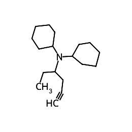 C#CCC(CC)N(C1CCCCC1)C1CCCCC1